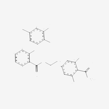 CCC(C)COC(=O)c1ccccc1O.CCOC(=O)c1ccc(Cl)cc1Cl.COC(=O)c1c(Cl)cccc1Cl